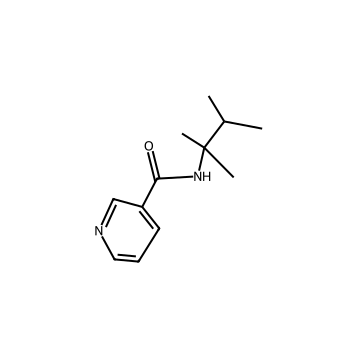 CC(C)C(C)(C)NC(=O)c1cccnc1